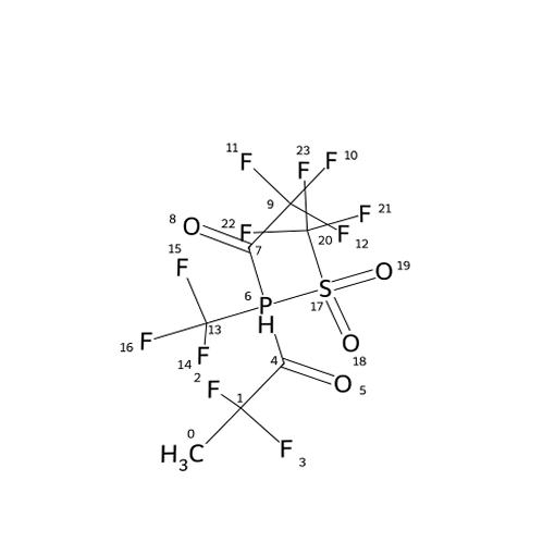 CC(F)(F)C(=O)[PH](C(=O)C(F)(F)F)(C(F)(F)F)S(=O)(=O)C(F)(F)F